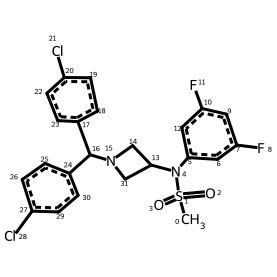 CS(=O)(=O)N(c1cc(F)cc(F)c1)C1CN(C(c2ccc(Cl)cc2)c2ccc(Cl)cc2)C1